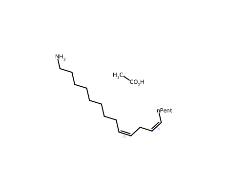 CC(=O)O.CCCCC/C=C\C/C=C\CCCCCCCCN